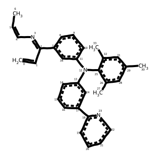 C=C/C(=N\C=C/C)c1cccc(N(c2cccc(-c3ccccn3)c2)c2c(C)cc(C)cc2C)c1